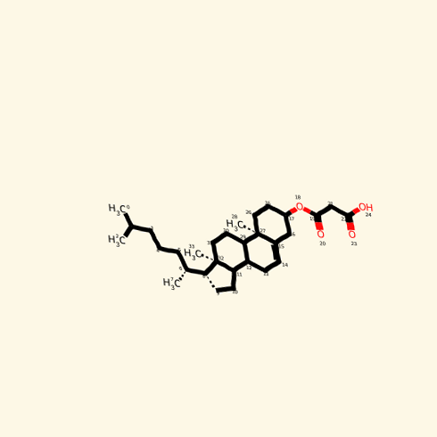 CC(C)CCC[C@@H](C)[C@H]1CCC2C3CC=C4CC(OC(=O)CC(=O)O)CC[C@]4(C)C3CC[C@@]21C